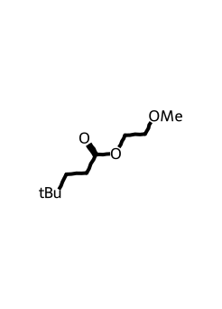 COCCOC(=O)CCC(C)(C)C